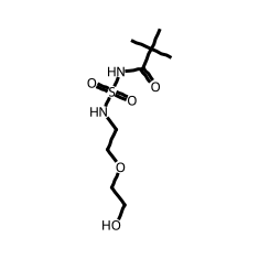 CC(C)(C)C(=O)NS(=O)(=O)NCCOCCO